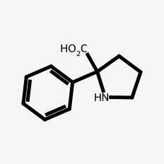 O=C(O)C1(c2ccccc2)CCCN1